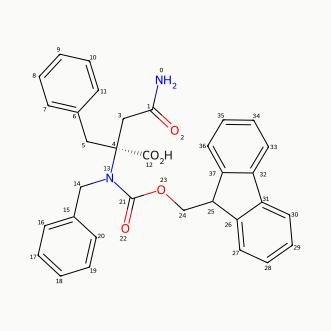 NC(=O)C[C@@](Cc1ccccc1)(C(=O)O)N(Cc1ccccc1)C(=O)OCC1c2ccccc2-c2ccccc21